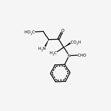 C[C@](C(=O)O)(C(=O)[C@@H](N)CC(=O)O)N(C=O)c1ccccc1